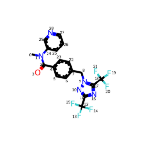 CN(C(=O)c1ccc(Cn2nc(C(F)(F)F)nc2C(F)(F)F)cc1)c1cccnc1